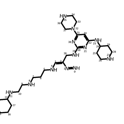 N=N/C(=C\NCCCNCCNC1CCCCC1)CNc1nc(NC2CCNCC2)cc(N2CCNCC2)n1